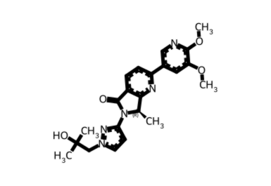 COc1cc(-c2ccc3c(n2)[C@@H](C)N(c2ccn(CC(C)(C)O)n2)C3=O)cnc1OC